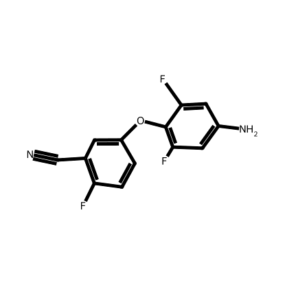 N#Cc1cc(Oc2c(F)cc(N)cc2F)ccc1F